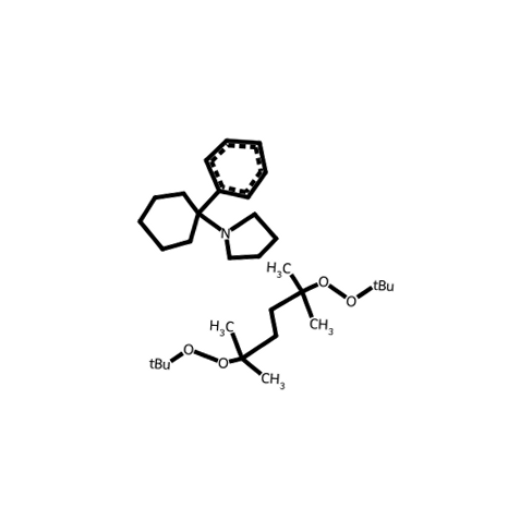 CC(C)(C)OOC(C)(C)CCC(C)(C)OOC(C)(C)C.c1ccc(C2(N3CCCC3)CCCCC2)cc1